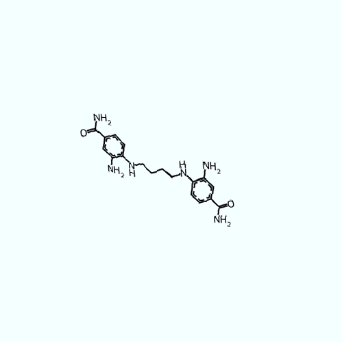 NC(=O)c1ccc(NCCCCNc2ccc(C(N)=O)cc2N)c(N)c1